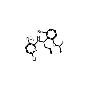 C=CC[C@@H](Nc1nc(Cl)ccc1[N+](=O)[O-])c1c(Br)cccc1OC(F)F